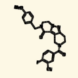 COc1ccc(CN2CCn3nc4c(c3C2=O)CN(C(=O)c2ccc(F)c(C#N)c2)CC4)cc1